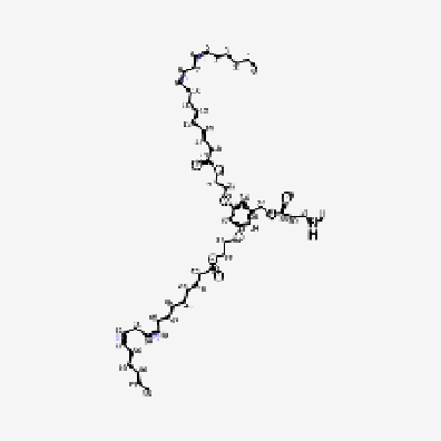 CCCCC/C=C\C/C=C\CCCCCCCC(=O)OCCOc1cc(COC(=O)CCNC)cc(OCCOC(=O)CCCCCCC/C=C\C/C=C\CCCCC)c1